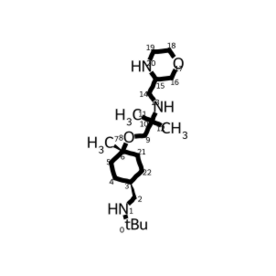 CC(C)(C)NC[C@H]1CC[C@](C)(OCC(C)(C)NCC2COCCN2)CC1